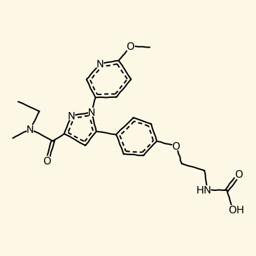 CCN(C)C(=O)c1cc(-c2ccc(OCCNC(=O)O)cc2)n(-c2ccc(OC)nc2)n1